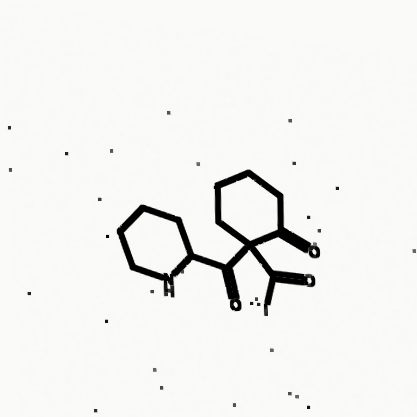 O=C(I)C1(C(=O)C2CCCCN2)CCCCC1=O